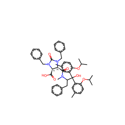 Cc1ccc(OC(C)C)c(C(O)(c2cc(C)ccc2OC(C)C)C(Cc2ccccc2)N(C)C(=O)[C@H]2[C@@H](C(=O)O)N(Cc3ccccc3)C(=O)N2Cc2ccccc2)c1